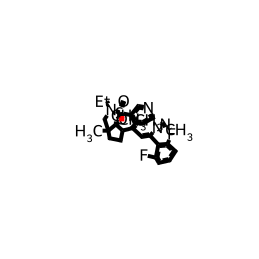 C=C(/C=C(\N=N/C)c1c(F)cccc1F)C1CCC(C)(CN(CC)S(=O)(=O)c2cccnc2)C1(C)C